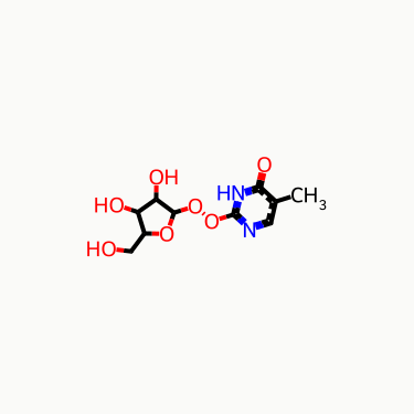 Cc1cnc(OOC2OC(CO)C(O)C2O)[nH]c1=O